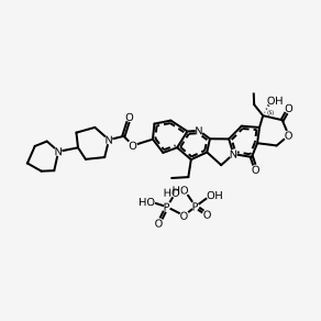 CCc1c2c(nc3ccc(OC(=O)N4CCC(N5CCCCC5)CC4)cc13)-c1cc3c(c(=O)n1C2)COC(=O)[C@]3(O)CC.O=P(O)(O)OP(=O)(O)O